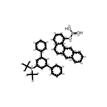 CC(C)(C)P(c1cc(-c2ccccc2)cc(-c2ccccc2)c1)C(C)(C)C.OB(O)Oc1cccc2ccc3cc4ccccc4cc3c12